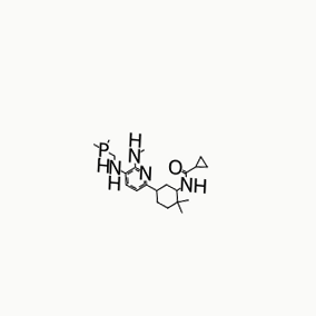 CNc1nc(C2CCC(C)(C)C(NC(=O)C3CC3)C2)ccc1NC[PH](C)(C)C